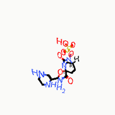 NC(=O)[C@@]1(OCC2CNCCN2)CC[C@@H]2CN1C(=O)N2OS(=O)(=O)O